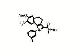 COc1cc2c(cc1N)-c1c(c(C(=O)N(C)C(C)(C)C)nn1-c1cccc(C)c1)CC2